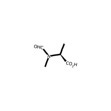 C[C@@H](C(=O)O)N(C)C=O